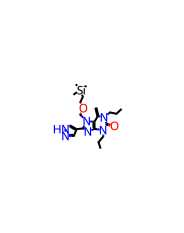 C=C1c2c(nc(-c3cn[nH]c3)n2COCC[Si](C)(C)C)N(CCC)C(=O)N1CCC